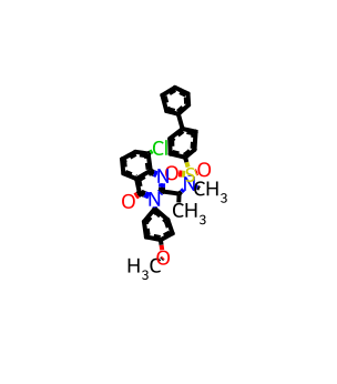 COc1ccc(-n2c(C(C)N(C)S(=O)(=O)c3ccc(-c4ccccc4)cc3)nc3c(Cl)cccc3c2=O)cc1